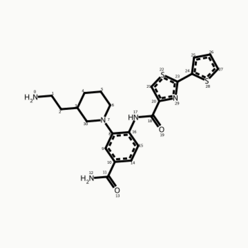 NCCC1CCCN(c2cc(C(N)=O)ccc2NC(=O)c2csc(-c3cccs3)n2)C1